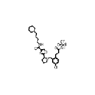 O=C(CCc1ccc(Cl)cc1CN1CCCC1c1nc(C(=O)NCCCCC2CCCCC2)co1)NS(=O)(=O)C(F)(F)F